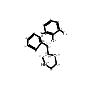 Cc1cccc(F)c1O[C@@H](c1ccccc1)[C@H]1CNCCO1